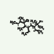 C=C/C(C)=C(/CC)C(=C)C(=C\C)/C=C(\C=C)C(C)(C)F